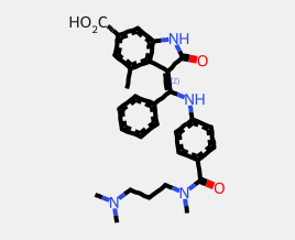 Cc1cc(C(=O)O)cc2c1/C(=C(/Nc1ccc(C(=O)N(C)CCCN(C)C)cc1)c1ccccc1)C(=O)N2